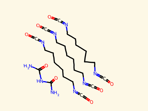 NC(=O)NC(N)=O.O=C=NCCCCCCN=C=O.O=C=NCCCCCCN=C=O.O=C=NCCCCCCN=C=O